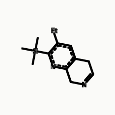 CCc1cc2c(nc1[Si](C)(C)C)CN=CC2